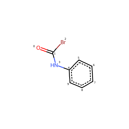 O=C(Br)Nc1ccccc1